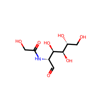 O=C[C@H](NC(=O)CO)[C@@H](O)[C@H](O)[C@H](O)CO